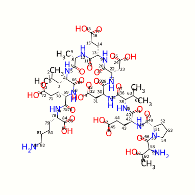 CC(C)C[C@H](NC(=O)[C@H](C)NC(=O)[C@H](CCC(=O)O)NC(=O)[C@H](CC(=O)O)NC(=O)[C@H](CC(=O)O)NC(=O)[C@@H](NC(=O)[C@H](CCC(=O)O)NC(=O)[C@@H]1CCCN1C(=O)[C@@H](N)[C@@H](C)O)C(C)C)C(=O)N[C@@H](CCC(=O)O)C(=O)N[C@@H](CCCCN)C(=O)O